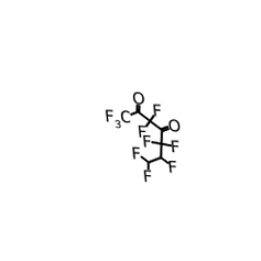 O=C(C(F)(F)F)C(F)(F)C(=O)C(F)(F)C(F)C(F)F